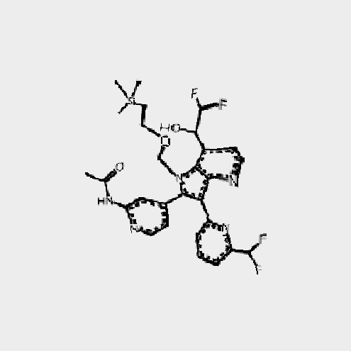 CC(=O)Nc1cc(-c2c(-c3cccc(C(F)F)n3)c3nccc(C(O)C(F)F)c3n2COCC[Si](C)(C)C)ccn1